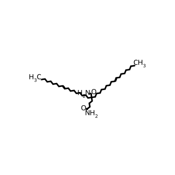 CCCCCCCCC=CCCCCCCCCC(CCCCCCCCC=CCCCCCCCC)(CCCC(N)=O)C(N)=O